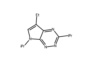 CCc1cn(C(C)C)c2nnc(C(C)C)nc12